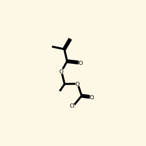 C=C(C)C(=O)OC(C)OC(=O)Cl